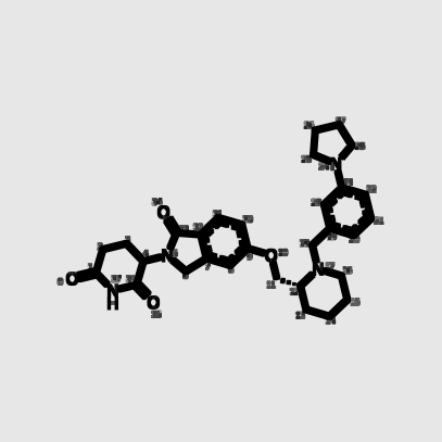 O=C1CCC(N2Cc3cc(OC[C@H]4CCCCN4Cc4cccc(N5CCCC5)c4)ccc3C2=O)C(=O)N1